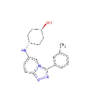 O[C@H]1CC[C@H](Nc2ccc3nnc(-c4cccc(C(F)(F)F)c4)n3c2)CC1